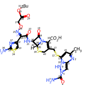 CC1=NC2=CN(C(N)=O)NN2C(SCC2=C(C(=O)O)N3C(=O)[C@@H](NC(=O)/C(=N\OCC(=O)OC(C)(C)C)c4csc(N)n4)[C@H]3SC2)=C1